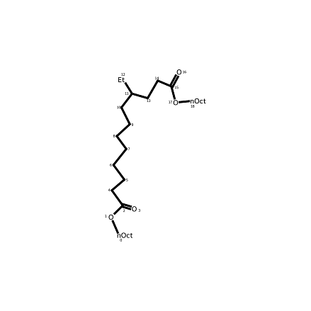 CCCCCCCCOC(=O)CCCCCCCC(CC)CCC(=O)OCCCCCCCC